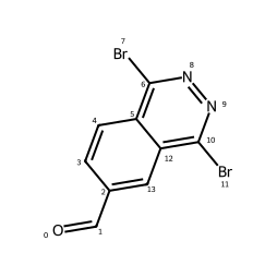 O=Cc1ccc2c(Br)nnc(Br)c2c1